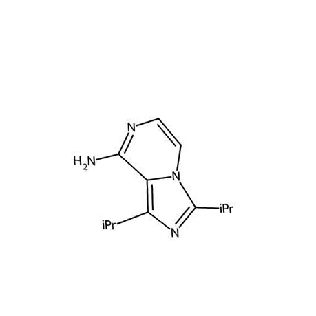 CC(C)c1nc(C(C)C)n2ccnc(N)c12